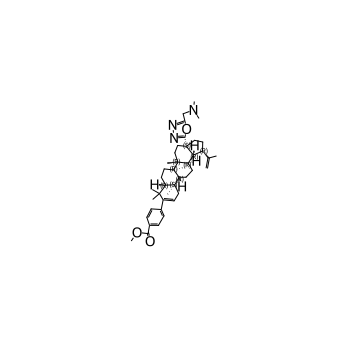 C=C(C)[C@@H]1CC[C@]2(c3nnc(CN(C)C)o3)CC[C@]3(C)[C@H](CC[C@@H]4[C@@]5(C)CC=C(c6ccc(C(=O)OC)cc6)C(C)(C)[C@@H]5CC[C@]43C)[C@@H]12